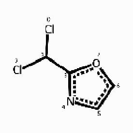 ClC(Cl)c1ncco1